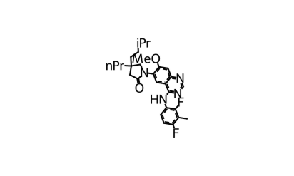 CCCC1(CCC(C)C)CC(=O)N(c2cc3c(Nc4ccc(F)c(C)c4F)ncnc3cc2OC)C1